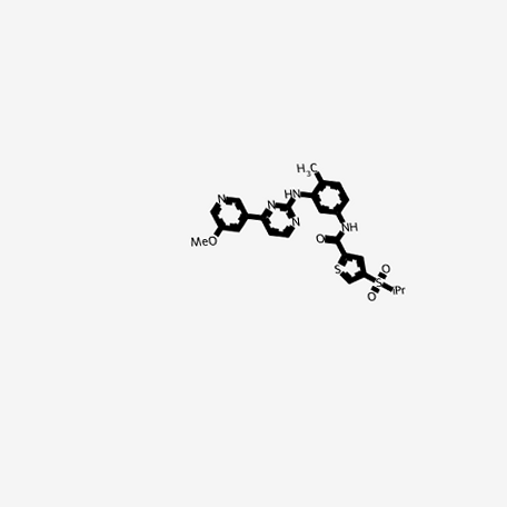 COc1cncc(-c2ccnc(Nc3cc(NC(=O)c4cc(S(=O)(=O)C(C)C)cs4)ccc3C)n2)c1